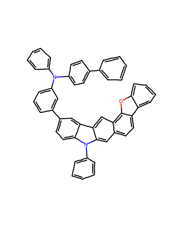 c1ccc(-c2ccc(N(c3ccccc3)c3cccc(-c4ccc5c(c4)c4cc6c(ccc7c8ccccc8oc67)cc4n5-c4ccccc4)c3)cc2)cc1